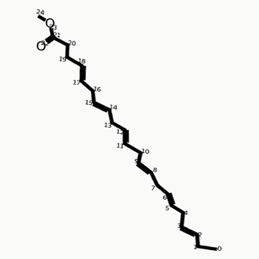 CCC=CCC=CCC=CCC=CCC=CCC=CCCC(=O)OC